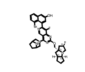 Oc1cc(-c2ncc3c(N4CC5CCC(C4)N5)nc(OC[C@]45C[C@@H](F)CN4[C@H]4CCC[C@H]4C5)nc3c2F)c2c(Br)cccc2c1